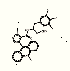 Cc1onc(-c2c3ccccc3c(C)c3ccccc23)c1C(=O)NC(Cc1cc(Br)c(O)c(Br)c1)OC=O